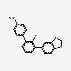 COc1ccc(-c2[c]ccc(-c3ccc4c(c3)OCO4)c2Cl)cc1